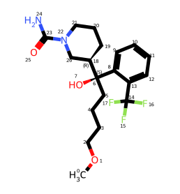 COCCCC[C@@](O)(c1ccccc1C(F)(F)F)[C@@H]1CCCN(C(N)=O)C1